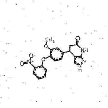 COc1cc(C2CC(=O)Nc3n[nH]cc32)ccc1Oc1ccccc1[N+](=O)[O-]